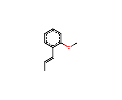 [CH2]/C=C/c1ccccc1OC